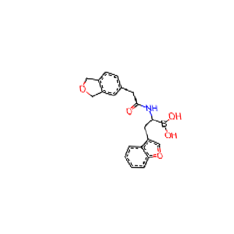 O=C(Cc1ccc2c(c1)COC2)NC(Cc1coc2ccccc12)B(O)O